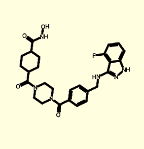 O=C(NO)C1CCC(C(=O)N2CCN(C(=O)c3ccc(CNc4n[nH]c5cccc(F)c45)cc3)CC2)CC1